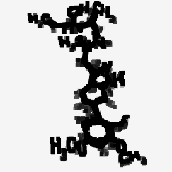 C=CC(O)NC(=C)/C=N\N(C)Cc1n[nH]c2c1CCC(c1cc(OC)cc(OC)c1F)C2